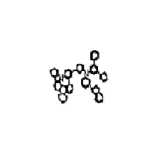 c1ccc(-c2cc(-c3ccccc3)cc(N(c3cccc(-c4ccc5c(c4)-c4cccc6c4-c4c(ccc7c8ccccc8n-5c47)C64CCCCC4)c3)c3cccc(-c4ccc5ccccc5c4)c3)c2)cc1